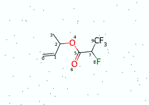 C=CC(C)OC(=O)C(F)C(F)(F)F